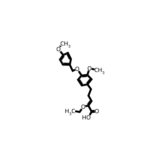 CCO/C(=C\CCc1ccc(OCc2ccc(OC)cc2)c(OC)c1)C(=O)O